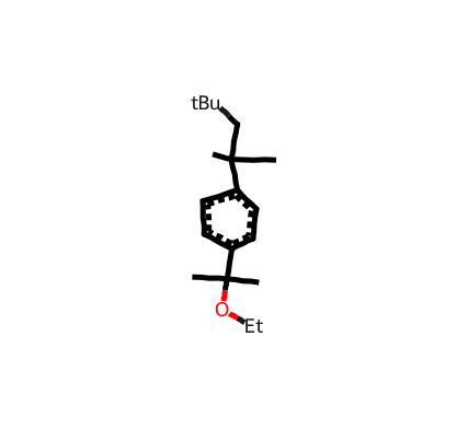 CCOC(C)(C)c1ccc(C(C)(C)CC(C)(C)C)cc1